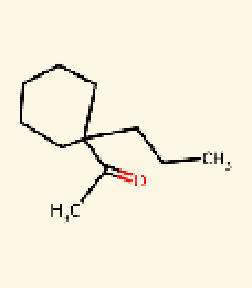 CCCC1(C(C)=O)CCCCC1